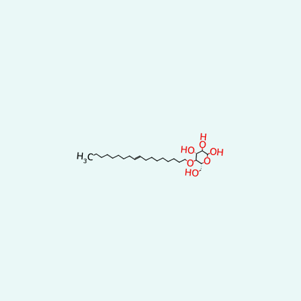 CCCCCCCCC=CCCCCCCCCO[C@H]1[C@H](O)[C@@H](O)[C@@H](O)O[C@@H]1CO